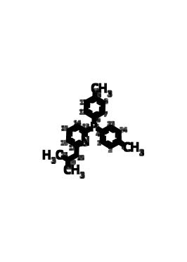 Cc1ccc(P(c2ccc(C)cc2)c2cccc(CC(C)C)n2)cc1